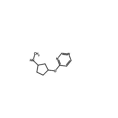 CNC1CCC(Oc2ccncn2)C1